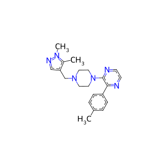 Cc1ccc(-c2nccnc2N2CCN(Cc3cnn(C)c3C)CC2)cc1